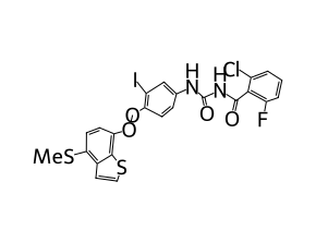 CSc1ccc(OOc2ccc(NC(=O)NC(=O)c3c(F)cccc3Cl)cc2I)c2sccc12